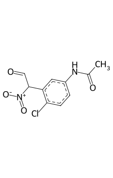 CC(=O)Nc1ccc(Cl)c(C(C=O)[N+](=O)[O-])c1